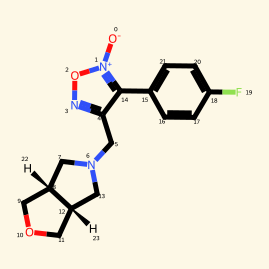 [O-][n+]1onc(CN2C[C@H]3COC[C@H]3C2)c1-c1ccc(F)cc1